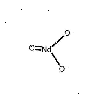 [O]=[Nd]([O-])[O-]